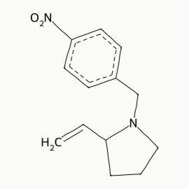 C=CC1CCCN1Cc1ccc([N+](=O)[O-])cc1